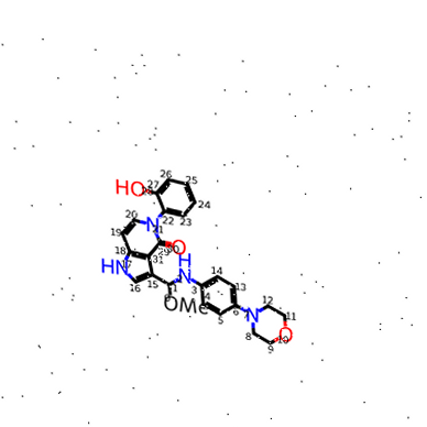 COC(Nc1ccc(N2CCOCC2)cc1)c1c[nH]c2ccn(-c3ccccc3O)c(=O)c12